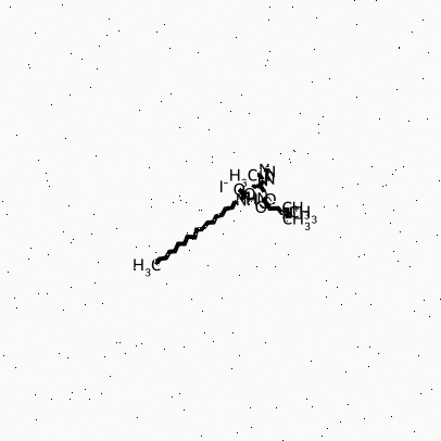 CCCCCCCCCCCCCCCCCCNC(=O)OCC(CNS(=O)(=O)CCC[N+](C)(C)C)n1nnnc1C.[I-]